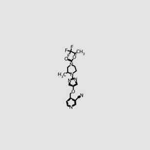 CC1CN(C(=O)O[C@H](C)C(F)(F)F)CCN1c1ncc(OCc2ccncc2C#N)cn1